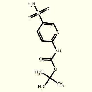 CC(C)(C)OC(=O)Nc1ccc(S(N)(=O)=O)cn1